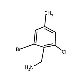 Cc1cc(Cl)c(CN)c(Br)c1